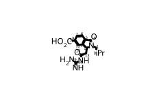 CC(C)CN1C(=O)c2ccc(C(=O)O)cc2C1CC(=O)NC(=N)N